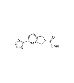 COC(=O)C1Cc2ccc(-c3nccs3)cc2C1